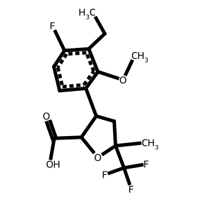 CCc1c(F)ccc(C2CC(C)(C(F)(F)F)OC2C(=O)O)c1OC